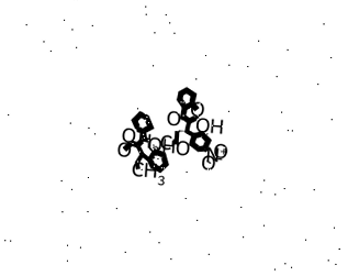 CC(=O)C[C@@H](c1ccc([N+](=O)[O-])cc1)c1c(O)oc2ccccc2c1=O.CCC(c1ccccc1)c1c(O)c2ccccc2oc1=O